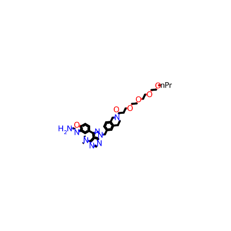 CCCOCCOCCOCCOCCC(=O)N1CCc2cc(Cn3nc(-c4ccc5oc(N)nc5c4)c4c(N(C)C)ncnc43)ccc2C1